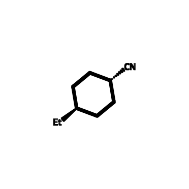 CC[C@H]1CC[C@H](C#N)CC1